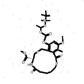 COC(=O)[C@@H]1CSCc2c(OC(=O)OC(C)O[Si](C)(C)C(C)(C)C)cc(OC)c(C)c2C(=O)OCCCCC(=O)N1